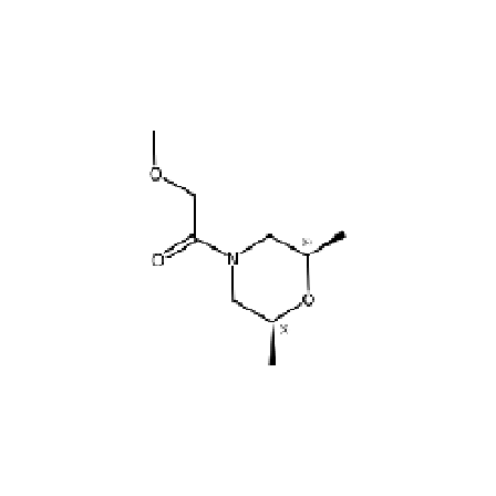 COCC(=O)N1C[C@@H](C)O[C@@H](C)C1